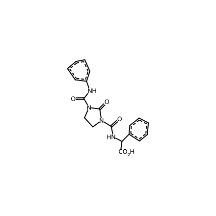 O=C(O)C(NC(=O)N1CCN(C(=O)Nc2ccccc2)C1=O)c1ccccc1